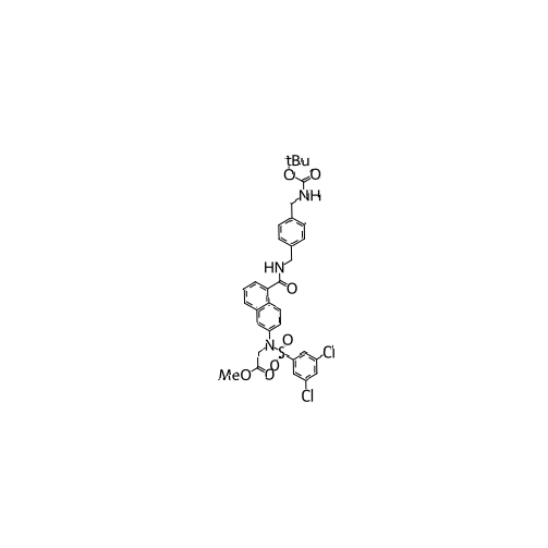 COC(=O)CN(c1ccc2c(C(=O)NCc3ccc(CNC(=O)OC(C)(C)C)cc3)cccc2c1)S(=O)(=O)c1cc(Cl)cc(Cl)c1